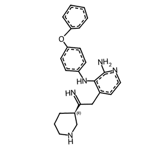 N=C(Cc1ccnc(N)c1Nc1ccc(Oc2ccccc2)cc1)[C@@H]1CCCNC1